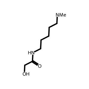 CNCCCCCNC(=O)CO